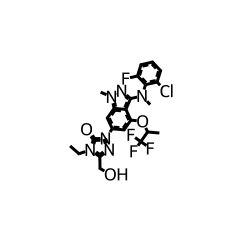 CCn1c(CO)nn(-c2cc(OC(C)C(F)(F)F)c3c(N(C)c4c(F)cccc4Cl)nn(C)c3c2)c1=O